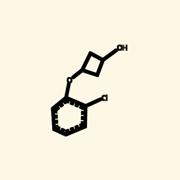 OC1CC(Oc2ccccc2Cl)C1